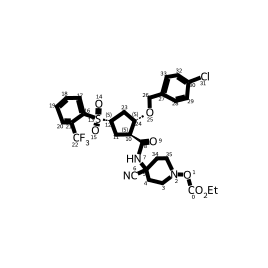 CCOC(=O)ON1CCC(C#N)(NC(=O)[C@H]2C[C@H](S(=O)(=O)c3ccccc3C(F)(F)F)C[C@@H]2OCc2ccc(Cl)cc2)CC1